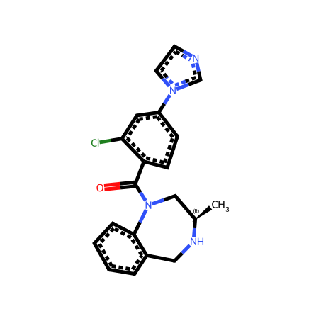 C[C@@H]1CN(C(=O)c2ccc(-n3ccnc3)cc2Cl)c2ccccc2CN1